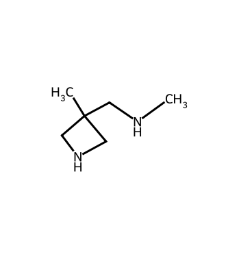 CNCC1(C)CNC1